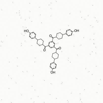 O=C(c1cc(C(=O)C2CCC(c3ccc(O)cc3)CC2)cc(C(=O)C2CCC(c3ccc(O)cc3)CC2)c1)C1CCC(c2ccc(O)cc2)CC1